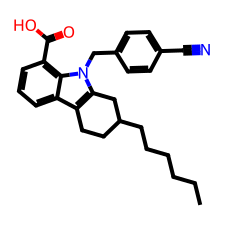 CCCCCCC1CCc2c(n(Cc3ccc(C#N)cc3)c3c(C(=O)O)cccc23)C1